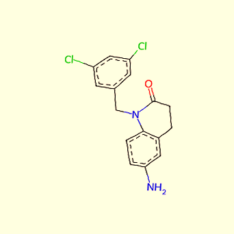 Nc1ccc2c(c1)CCC(=O)N2Cc1cc(Cl)cc(Cl)c1